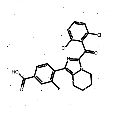 O=C(O)c1ccc(-c2nc(C(=O)c3c(Cl)cccc3Cl)n3c2CCCC3)c(F)c1